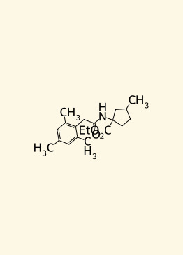 CCOC(=O)C1(NC(=O)Cc2c(C)cc(C)cc2C)CCC(C)C1